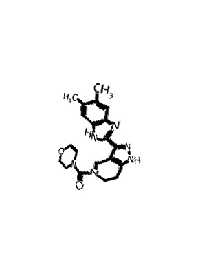 Cc1cc2nc(-c3n[nH]c4c3CN(C(=O)N3CCOCC3)CC4)[nH]c2cc1C